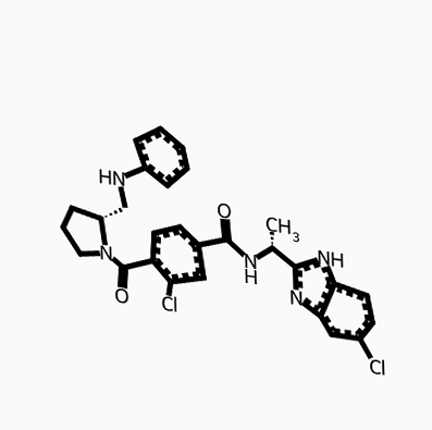 C[C@@H](NC(=O)c1ccc(C(=O)N2CCC[C@@H]2CNc2ccccc2)c(Cl)c1)c1nc2cc(Cl)ccc2[nH]1